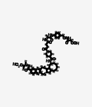 C[C@H](NC(=O)CCC(=O)N1CCC(C(=O)NC2CCCCCC3CC4SCc5nc6ccc(C(=O)NN(C)[C@@H](C)C(=O)O)cc6nc5CSC4C3C2)CC1)C(=O)Nc1ccc(CONC(=O)COO)cc1